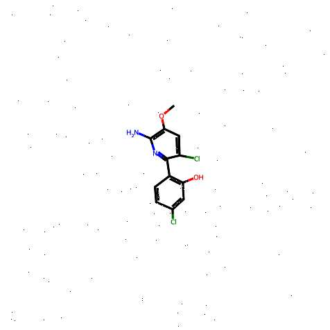 COc1cc(Cl)c(-c2ccc(Cl)cc2O)nc1N